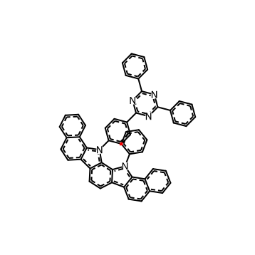 c1ccc(-c2nc(-c3ccccc3)nc(-c3ccc(-n4c5c6ccccc6ccc5c5ccc6c7ccc8ccccc8c7n(-c7ccccc7)c6c54)cc3)n2)cc1